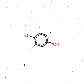 CCc1ccc(O)cc1F